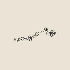 Cc1ccc(/C=C/c2nc(COc3ccc(CCCCn4ccnc4CCNS(=O)(=O)C(F)(F)F)cc3)co2)cc1